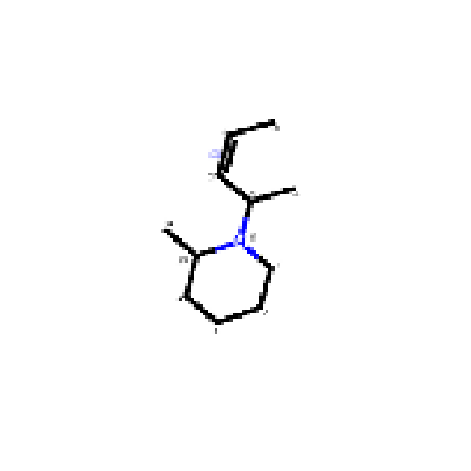 C/C=C\C(C)N1CCCCC1C